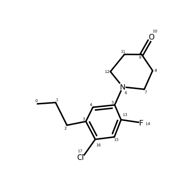 CCCc1cc(N2CCC(=O)CC2)c(F)cc1Cl